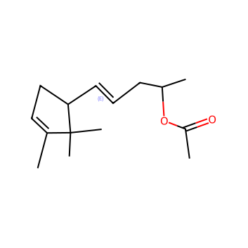 CC(=O)OC(C)C/C=C/C1CC=C(C)C1(C)C